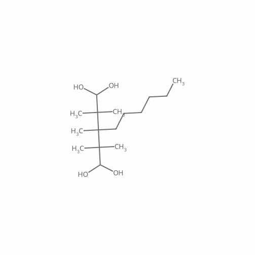 CCCCCCC(C)(C(C)(C)C(O)O)C(C)(C)C(O)O